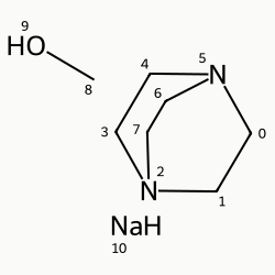 C1CN2CCN1CC2.CO.[NaH]